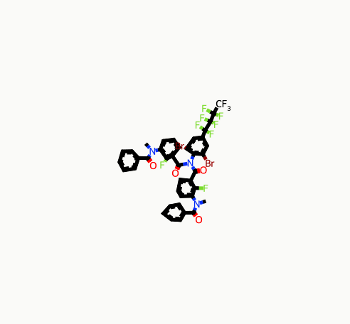 CN(C(=O)c1ccccc1)c1cccc(C(=O)N(C(=O)c2cccc(N(C)C(=O)c3ccccc3)c2F)c2c(Br)cc(C(F)(F)C(F)(F)C(F)(F)C(F)(F)F)cc2Br)c1F